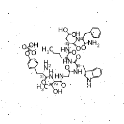 CCCC[C@@H](NC(=O)[C@H](Cc1c[nH]c2ccccc12)NC(=O)CNC(=O)[C@@H](NC(=O)[C@@H](N)Cc1ccc(OS(=O)(=O)O)cc1)[C@@H](C)O)C(=O)N[C@@H](CC(=O)O)C(=O)N[C@@H](Cc1ccccc1)C(N)=O